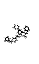 FC(F)c1nc2ccccc2n1-c1cc(N2CCOCC2)nc(NC[C@@H]2CCN(Cc3ccccc3)C2)n1